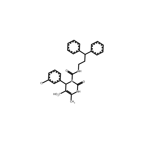 CC1=C(C(=O)O)C(c2cccc(Cl)c2)N(C(=O)NCCC(c2ccccc2)c2ccccc2)C(=O)N1